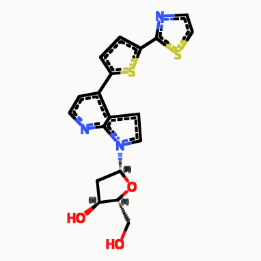 OC[C@H]1O[C@@H](n2ccc3c(-c4ccc(-c5nccs5)s4)ccnc32)C[C@@H]1O